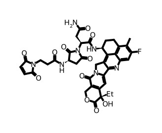 CC[C@@]1(O)C(=O)OCc2c1cc1n(c2=O)Cc2c-1nc1cc(F)c(C)c3c1c2[C@@H](NC(=O)[C@H](CC(N)=O)N1C(=O)C[C@H](NC(=O)CCN2C(=O)C=CC2=O)C1=O)CC3